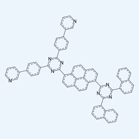 c1cncc(-c2ccc(-c3nc(-c4ccc(-c5cccnc5)cc4)nc(-c4ccc5ccc6c(-c7nc(-c8cccc9ccccc89)nc(-c8cccc9ccccc89)n7)ccc7ccc4c5c76)n3)cc2)c1